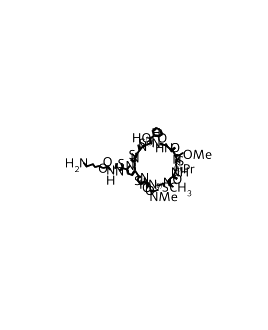 CNC(=O)C[C@@H]1NC(=O)c2csc(n2)-c2ccc(-c3nc(NC(=O)OCCCCN)cs3)nc2-c2csc(n2)-c2csc(n2)[C@H]([C@@H](O)c2ccccc2)NC(=O)CNC(=O)c2nc(sc2COC)[C@H](C(C)C)NC(=O)c2nc1sc2C